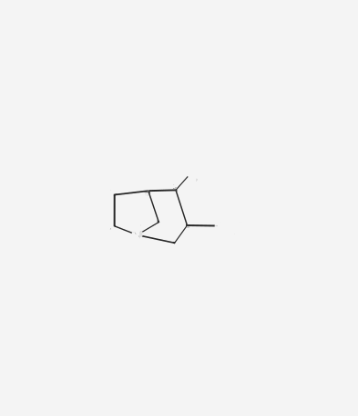 CCOC(=O)C1CN2CCC(C2)C1O